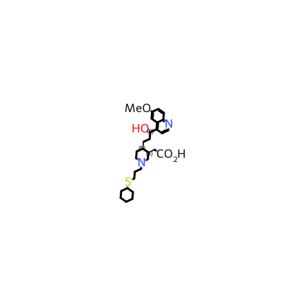 COc1ccc2nccc([C@H](O)CC[C@@H]3CCN(CCCSC4CCCCC4)C[C@@H]3CC(=O)O)c2c1